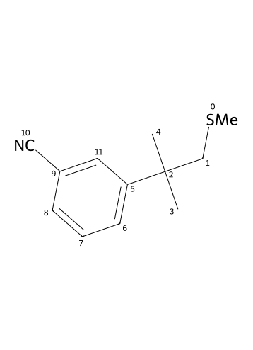 CSCC(C)(C)c1cccc(C#N)c1